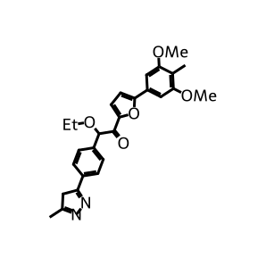 CCOC(C(=O)c1ccc(-c2cc(OC)c(C)c(OC)c2)o1)c1ccc(C2=NN=C(C)C2)cc1